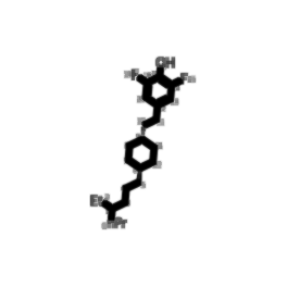 CCCC(CC)CCC[C@H]1CC[C@H](CCc2cc(F)c(O)c(F)c2)CC1